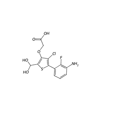 Nc1cccc(-c2sc(C(O)O)c(OCC(=O)O)c2Cl)c1F